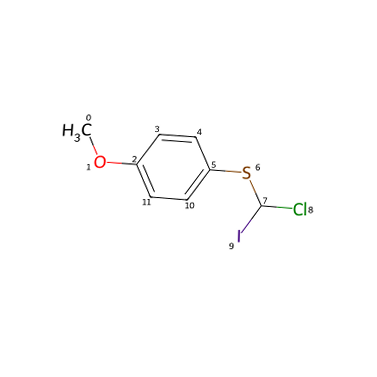 COc1ccc(SC(Cl)I)cc1